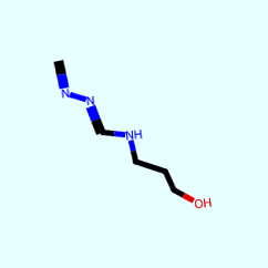 C=N/N=C/NCCCO